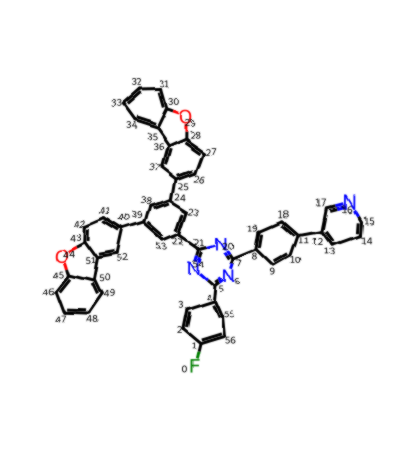 Fc1ccc(-c2nc(-c3ccc(-c4cccnc4)cc3)nc(-c3cc(-c4ccc5oc6ccccc6c5c4)cc(-c4ccc5oc6ccccc6c5c4)c3)n2)cc1